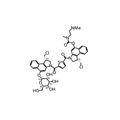 CNCCN(C)C(=O)Oc1cc2c(c3ccccc13)[C@H](CCl)CN2C(=O)c1ccc(C(=O)N2C[C@@H](CCl)c3c2cc(O[C@@H]2O[C@H](CO)[C@H](O)[C@H](O)[C@H]2O)c2ccccc32)s1